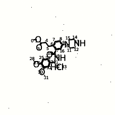 COC(=O)CCc1ccc(N2CCNCC2)cc1C(=O)N[C@H](C)c1ccc(OC)c(OC)c1.Cl